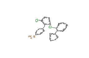 Clc1ccccc1-c1ccccc1.Clc1ccccc1-c1ccccc1.S